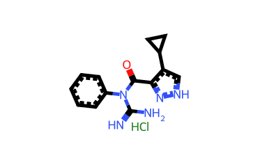 Cl.N=C(N)N(C(=O)c1n[nH]cc1C1CC1)c1ccccc1